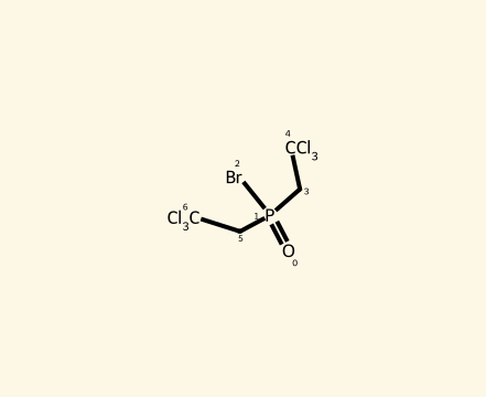 O=P(Br)(CC(Cl)(Cl)Cl)CC(Cl)(Cl)Cl